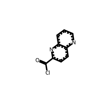 O=C(Cl)c1ccc2ncccc2n1